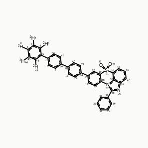 [2H]c1c([2H])c([2H])c(-c2ccc(-c3ccc(-c4ccc5c(c4)S(=O)(=O)c4cccc6nc(-c7ccccc7)n-5c46)cc3)cc2)c([2H])c1[2H]